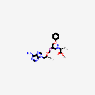 CC(C)OC(=O)[C@H](C)NC/C(COc1ccccc1)=P\CO[C@H](C)Cn1cnc2c(N)ncnc21